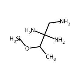 CC(O[SiH3])C(N)(N)CN